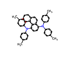 Cc1ccc(N(c2ccc(C)cc2)c2ccc(N(c3ccc(C)cc3)c3ccc(C)cc3)c3c2ccc2ccccc23)cc1